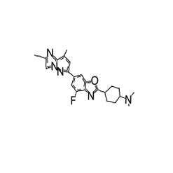 Cc1cn2nc(-c3cc(F)c4nc(C5CCC(N(C)C)CC5)oc4c3)cc(C)c2n1